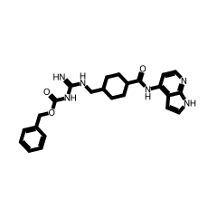 N=C(NCC1CCC(C(=O)Nc2ccnc3[nH]ccc23)CC1)NC(=O)OCc1ccccc1